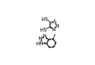 Cc1cccc2[nH]nnc12.Sc1nnsc1S